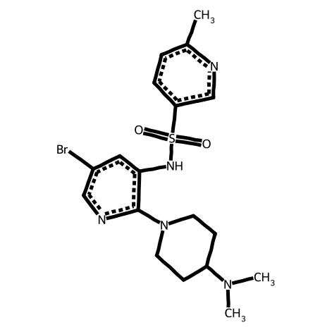 Cc1ccc(S(=O)(=O)Nc2cc(Br)cnc2N2CCC(N(C)C)CC2)cn1